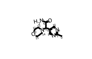 Cc1ncc(C(C(N)=O)N2CCOCC2)cn1